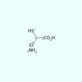 CCC(S)C(=O)O.N